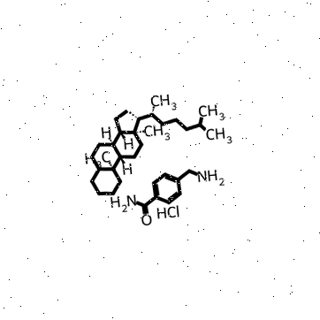 CC(C)CCC[C@@H](C)[C@H]1CC[C@H]2[C@@H]3CCC4CCCC[C@]4(C)[C@H]3CC[C@]12C.Cl.NCc1ccc(C(N)=O)cc1